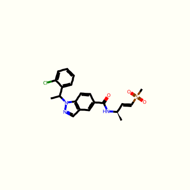 CC(c1ccccc1Cl)n1ncc2cc(C(=O)N[C@H](C)/C=C/S(C)(=O)=O)ccc21